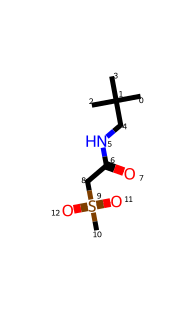 CC(C)(C)CNC(=O)CS(C)(=O)=O